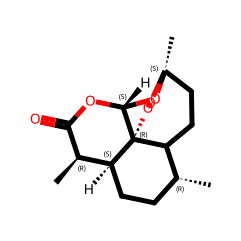 C[C@@H]1CC[C@H]2[C@@H](C)C(=O)O[C@@H]3O[C@]4(C)CCC1[C@]32OO4